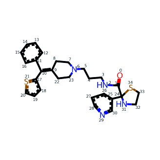 O=C(NCCCN1CCC(=C(c2ccccc2)c2cccs2)CC1)C1(c2cccnc2)NCCS1